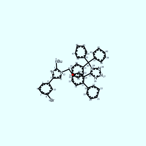 CCCCc1nc(-c2cccc(Br)c2)cn1Cc1ccc(-c2ccccc2)c(-c2nnnn2C(c2ccccc2)(c2ccccc2)c2ccccc2)c1